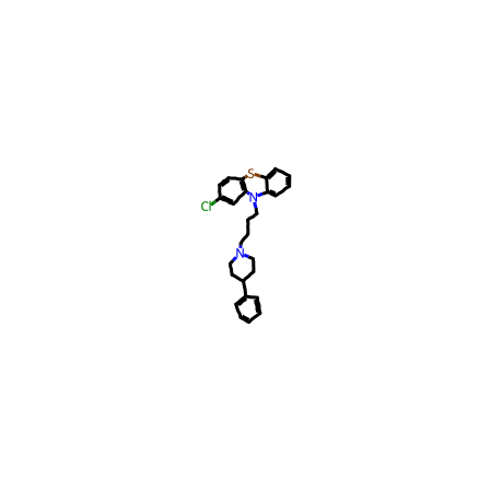 Clc1ccc2c(c1)N(CCCCN1CCC(c3ccccc3)CC1)c1ccccc1S2